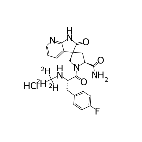 Cl.[2H]C([2H])([2H])N[C@@H](Cc1ccc(F)cc1)C(=O)N1C[C@]2(C[C@H]1C(N)=O)C(=O)Nc1ncccc12